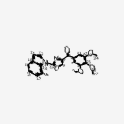 COc1cc(C(=O)c2coc(-n3ccc4ccccc43)n2)cc(OC)c1OC